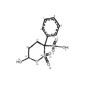 O=S(=O)(O)C1(c2ccccc2)CCC(O)OS1(=O)=O